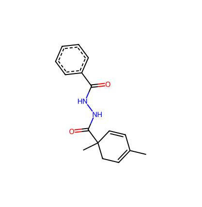 CC1=CCC(C)(C(=O)NNC(=O)c2ccccc2)C=C1